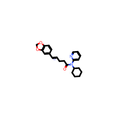 O=C(CC/C=C/c1ccc2c(c1)OCO2)N(c1ccccn1)C1CCCCC1